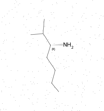 CCCC[C@@H](N)C(C)C